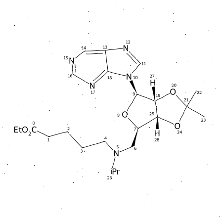 CCOC(=O)CCCCN(C[C@H]1O[C@@H](n2cnc3cncnc32)[C@@H]2OC(C)(C)O[C@@H]21)C(C)C